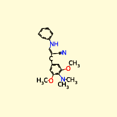 COc1cc(CC(C#N)=CNc2ccccc2)cc(OC)c1N(C)C